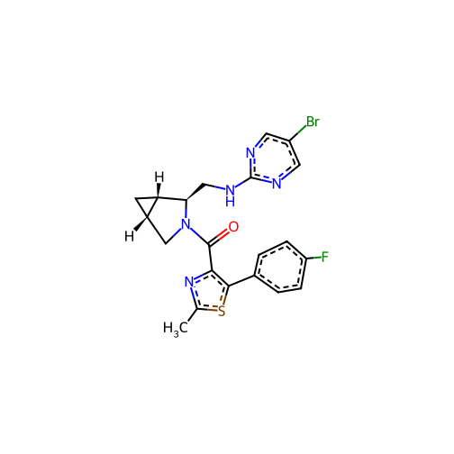 Cc1nc(C(=O)N2C[C@@H]3C[C@@H]3[C@H]2CNc2ncc(Br)cn2)c(-c2ccc(F)cc2)s1